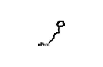 CCCCCCCCC=C1C=CC=C1